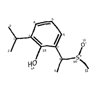 CC(C)c1cccc(C(C)[S+](C)[O-])c1O